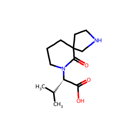 CC(C)[C@@H](C(=O)O)N1CCCC2(CCNC2)C1=O